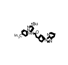 Cc1ccc(-n2nc(C(C)(C)C)cc2NC(=O)Cc2ccc(-n3cnc4cccnc43)cc2)cc1